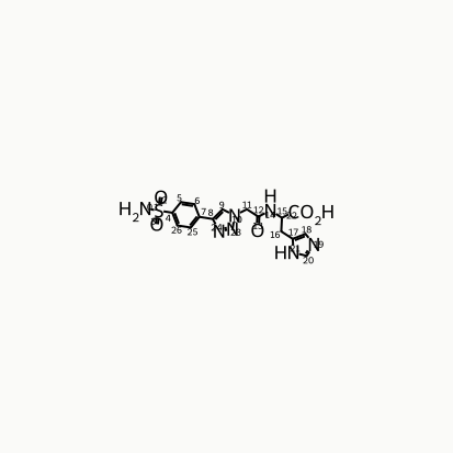 NS(=O)(=O)c1ccc(-c2cn(CC(=O)NC(Cc3cnc[nH]3)C(=O)O)nn2)cc1